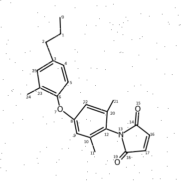 CCCc1ccc(Oc2cc(C)c(N3C(=O)C=CC3=O)c(C)c2)c(C)c1